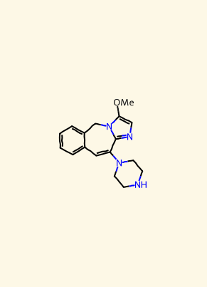 COc1cnc2n1Cc1ccccc1C=C2N1CCNCC1